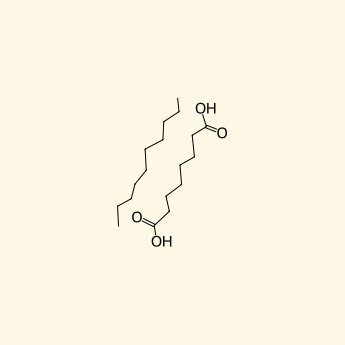 CCCCCCCCCC.O=C(O)CCCCCCC(=O)O